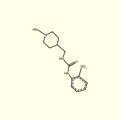 CCCCN1CCC(CNC(=O)Nc2ccccc2[N+](=O)[O-])CC1